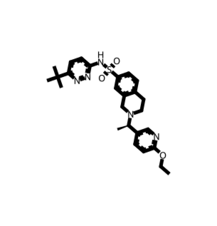 CCOc1ccc([C@@H](C)N2CCc3ccc(S(=O)(=O)Nc4ccc(C(C)(C)C)nn4)cc3C2)cn1